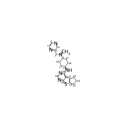 CN(Cc1cnccn1)[C@H]1CC[C@H](Nc2ncnc3sc4c(c23)CCC4)CC1